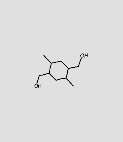 CC1CC(CO)C(C)CC1CO